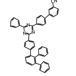 N#Cc1cccc(-c2ccc(-c3nc(-c4ccccc4)nc(-c4ccc(-c5cccc(-c6ccccc6)c5-c5ccccc5)cc4)n3)cc2)c1